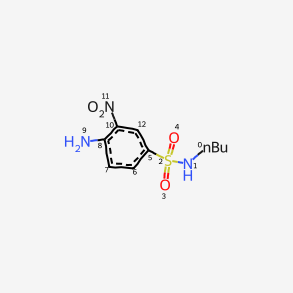 CCCCNS(=O)(=O)c1ccc(N)c([N+](=O)[O-])c1